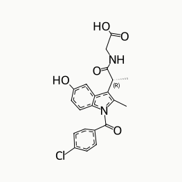 Cc1c([C@@H](C)C(=O)NCC(=O)O)c2cc(O)ccc2n1C(=O)c1ccc(Cl)cc1